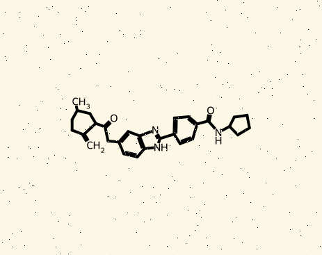 C=C1CCC(C)CC1C(=O)Cc1ccc2[nH]c(-c3ccc(C(=O)NC4CCCC4)cc3)nc2c1